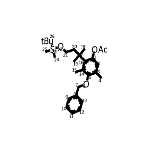 CC(=O)Oc1cc(C)c(OCc2ccccc2)c(C)c1C(C)(C)CCO[Si](C)(C)C(C)(C)C